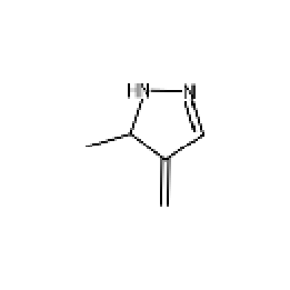 C=C1C=NNC1C